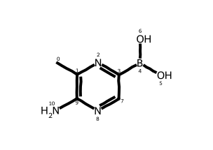 Cc1nc(B(O)O)cnc1N